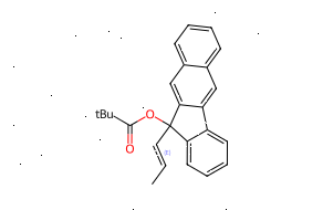 C/C=C/C1(OC(=O)C(C)(C)C)c2ccccc2-c2cc3ccccc3cc21